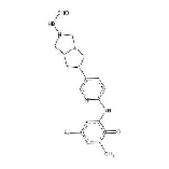 Cn1cc(Br)cc(Nc2ccc(N3CC4CN(BC=O)CC4C3)cn2)c1=O